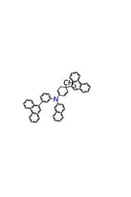 CC1(c2cc3ccccc3c3ccccc23)C=CC(N(c2cccc(-c3cc4ccccc4c4ccccc34)c2)c2ccc3ccccc3c2)=CC1